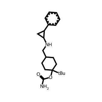 CC(C)(C)C1(OC(N)=O)CCC(CNC2CC2c2ccccc2)CC1